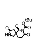 CC(C)(C)OC(=O)N1C(=O)CCC2(CNC(=O)C2)C1=O